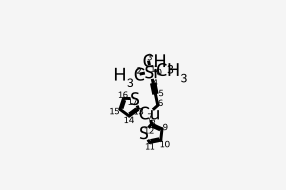 C[Si](C)(C)C#C[CH2][Cu]([c]1cccs1)[c]1cccs1